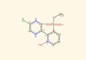 CCS(=O)(=O)c1ccc[n+]([O-])c1-c1cnc(Cl)cn1